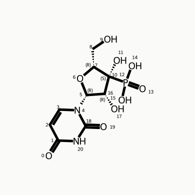 O=c1ccn([C@@H]2O[C@H](CO)[C@@](O)(P(=O)(O)O)[C@@H]2O)c(=O)[nH]1